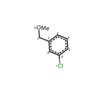 [CH2]OCc1cccc(Cl)c1